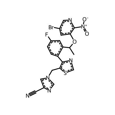 CC(Oc1cc(Br)cnc1[N+](=O)[O-])c1cc(F)ccc1-c1ncsc1Cn1cnc(C#N)c1